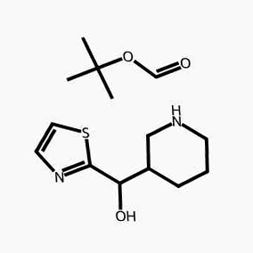 CC(C)(C)OC=O.OC(c1nccs1)C1CCCNC1